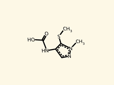 CSc1c(NC(=O)O)cnn1C